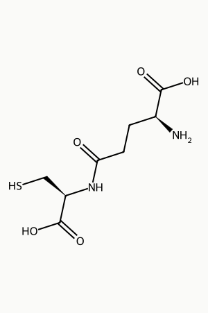 N[C@@H](CCC(=O)N[C@H](CS)C(=O)O)C(=O)O